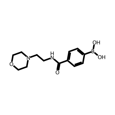 O=C(NCCN1CCOCC1)c1ccc(B(O)O)cc1